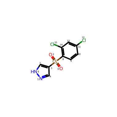 O=S(=O)(c1cn[nH]c1)c1ccc(Cl)cc1Cl